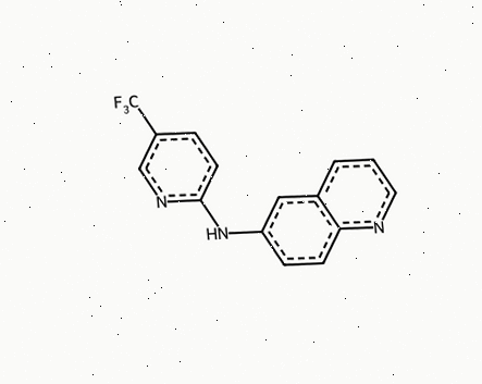 FC(F)(F)c1ccc(Nc2ccc3ncccc3c2)nc1